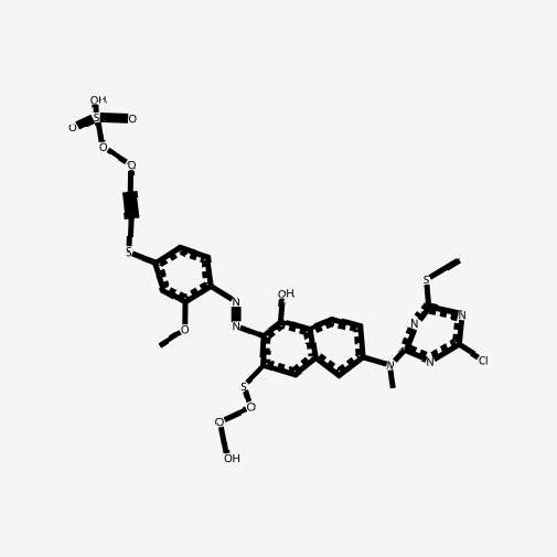 COc1cc(SC#COOS(=O)(=O)O)ccc1N=Nc1c(SOOO)cc2cc(N(C)c3nc(Cl)nc(SC)n3)ccc2c1O